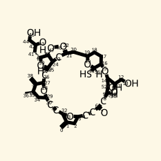 C=C1CC2CCC(=O)C[C@H]3OC(CO)C(OC4CCC(CC(=O)CC5[C@H](CC6OC(CCC1O2)C[C@@H](C)C6=C)O[C@H](CC(O)CO)[C@@H]5OC)O[C@@H]4S)C3O